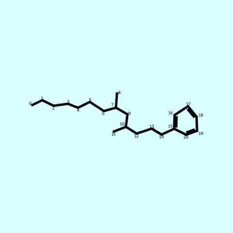 CCCCCCCC(C)CC(C)C[CH]Cc1ccccc1